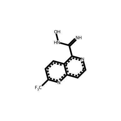 N=C(NO)c1nccc2nc(C(F)(F)F)ccc12